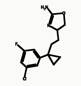 NC1=NC(CCC2(c3cc(F)cc(Cl)c3)CC2)CO1